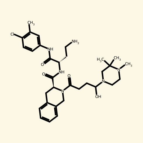 Cc1cc(NC(=O)[C@H](CCN)NC(=O)[C@@H]2Cc3ccccc3CN2C(=O)CCC(O)N2CCN(C)C(C)(C)C2)ccc1Cl